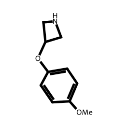 COc1ccc(OC2CNC2)cc1